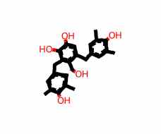 Cc1cc(Cc2cc(O)c(O)c(Cc3cc(C)c(O)c(C)c3)c2[CH]O)cc(C)c1O